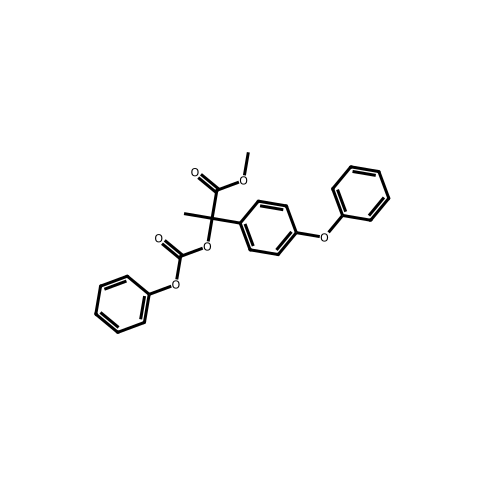 COC(=O)C(C)(OC(=O)Oc1ccccc1)c1ccc(Oc2ccccc2)cc1